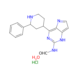 Cl.O.O=CNc1nc(C2CCNC(c3ccccc3)C2)c2nccc-2[nH]1